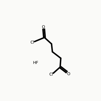 F.O=C(Cl)CCCC(=O)Cl